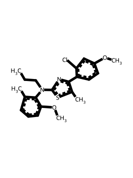 CCCN(c1nc(-c2ccc(OC)cc2Cl)c(C)s1)c1c(C)cccc1OC